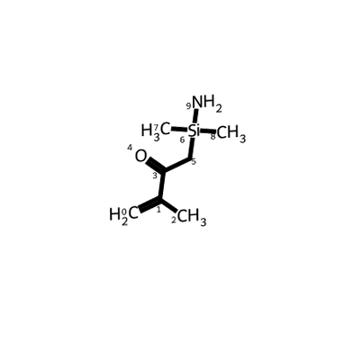 C=C(C)C(=O)C[Si](C)(C)N